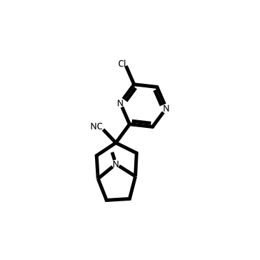 CN1C2CCC1CC(C#N)(c1cncc(Cl)n1)C2